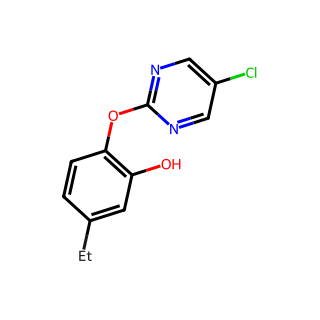 CCc1ccc(Oc2ncc(Cl)cn2)c(O)c1